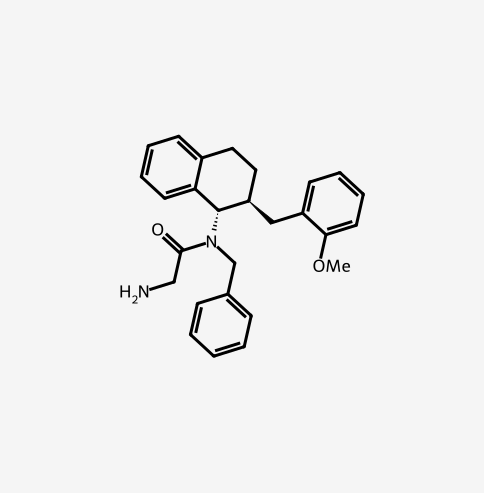 COc1ccccc1C[C@@H]1CCc2ccccc2[C@H]1N(Cc1ccccc1)C(=O)CN